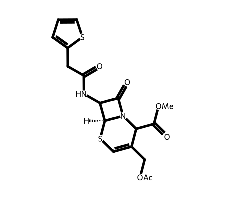 COC(=O)C1C(COC(C)=O)=CS[C@H]2C(NC(=O)Cc3cccs3)C(=O)N12